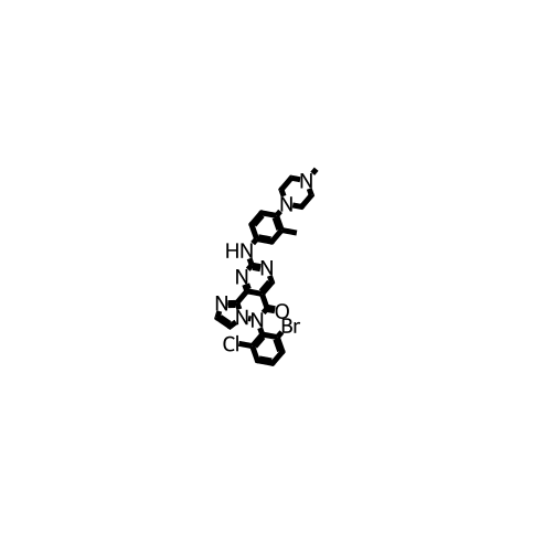 Cc1cc(Nc2ncc3c(=O)n(-c4c(Cl)cccc4Br)n4ccnc4c3n2)ccc1N1CCN(C)CC1